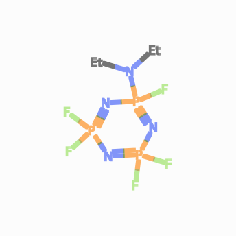 CCN(CC)P1(F)=NP(F)(F)=NP(F)(F)=N1